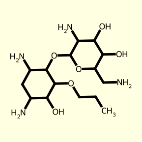 CCCOC1C(O)C(N)CC(N)C1OC1OC(CN)C(O)C(O)C1N